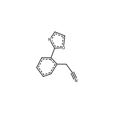 N#CCc1ccccc1-c1ncco1